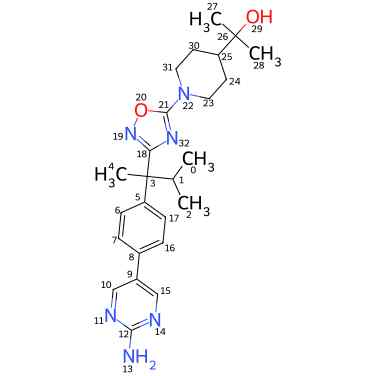 CC(C)C(C)(c1ccc(-c2cnc(N)nc2)cc1)c1noc(N2CCC(C(C)(C)O)CC2)n1